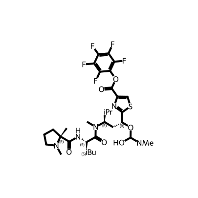 CC[C@H](C)[C@H](NC(=O)[C@@]1(C)CCCN1C)C(=O)N(C)[C@H](C[C@@H](OC(O)NC)c1nc(C(=O)Oc2c(F)c(F)c(F)c(F)c2F)cs1)C(C)C